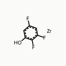 Oc1cc(F)cc(F)c1F.[Zr]